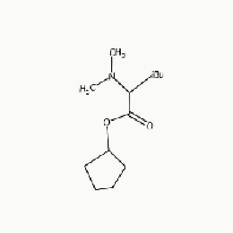 CCC(C)C(C(=O)OC1CCCC1)N(C)C